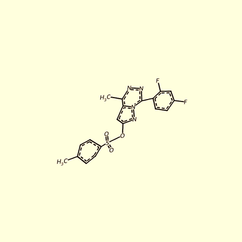 Cc1ccc(S(=O)(=O)Oc2cc3c(C)nnc(-c4ccc(F)cc4F)n3n2)cc1